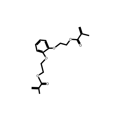 C=C(C)C(=O)OCCOc1ccccc1OCCOC(=O)C(=C)C